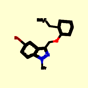 CCCn1nc(COc2ccccc2CC(=O)OCC)c2cc(Br)ccc21